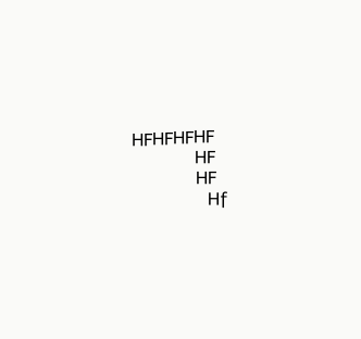 F.F.F.F.F.F.[Hf]